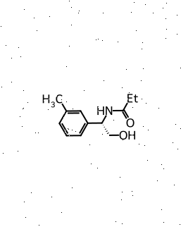 CCC(=O)N[C@H](CO)c1cccc(C)c1